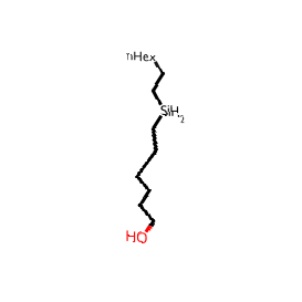 CCCCCCCC[SiH2]CCCCCCO